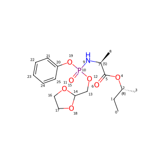 CC[C@@H](C)OC(=O)[C@H](C)NP(=O)(OCC1OCCO1)Oc1ccccc1